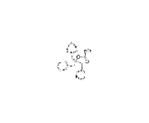 [CH2]CCC(=O)O[Si](Cc1ccccc1)(Cc1ccccc1)Cc1ccccc1